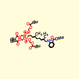 COC(=O)c1ccccc1NC/C(C)=C/CC/C(C)=C/CC(P(=O)(OCOC(=O)C(C)(C)C)OCOC(=O)C(C)(C)C)P(=O)(OCOC(=O)C(C)(C)C)OCOC(=O)C(C)(C)C